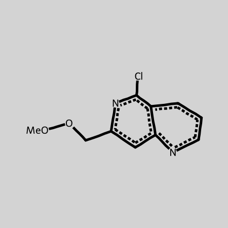 COOCc1cc2ncccc2c(Cl)n1